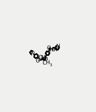 Cc1oc(-c2ccc(C(=O)NCc3cccnc3)cc2)nc1CS(=O)(=O)[C@H]1CC[C@H](N2CCCC2)CC1